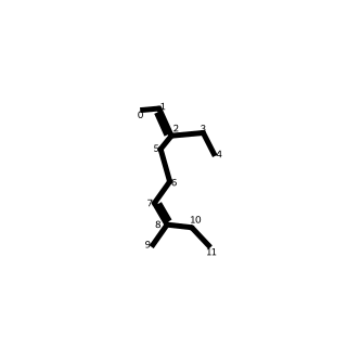 CC=C(CC)CCC=C(C)CC